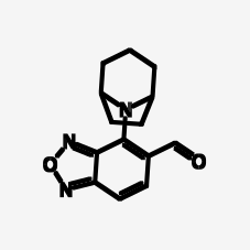 O=Cc1ccc2nonc2c1N1C2CCCC1CC2